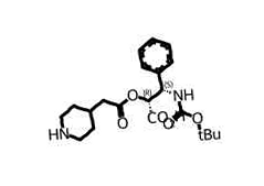 CC(C)(C)OC(=O)N[C@@H](c1ccccc1)[C@@H](OC(=O)CC1CCNCC1)C(=O)O